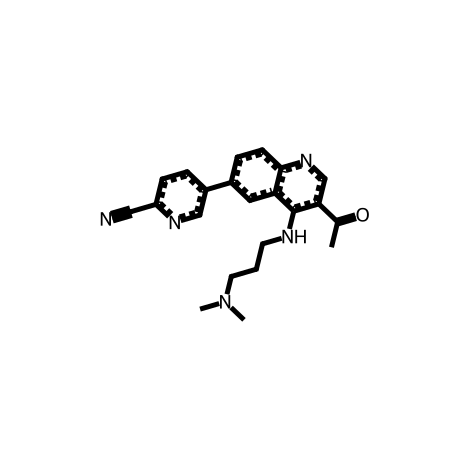 CC(=O)c1cnc2ccc(-c3ccc(C#N)nc3)cc2c1NCCCN(C)C